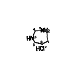 C1CCNCNC1.Cl